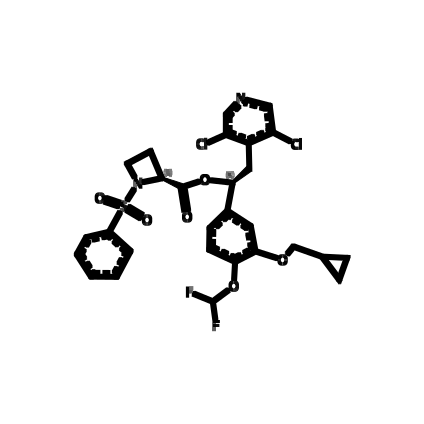 O=C(O[C@@H](Cc1c(Cl)cncc1Cl)c1ccc(OC(F)F)c(OCC2CC2)c1)[C@@H]1CCN1S(=O)(=O)c1ccccc1